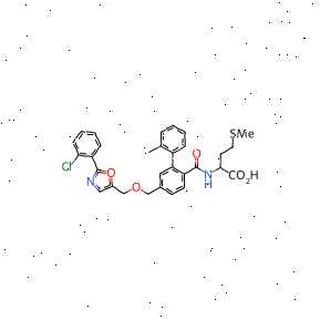 CSCCC(NC(=O)c1ccc(COCc2cnc(-c3ccccc3Cl)o2)cc1-c1ccccc1C)C(=O)O